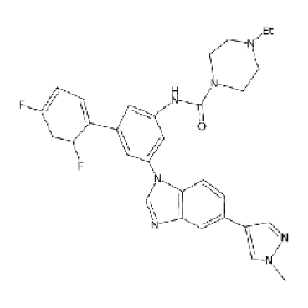 CCN1CCN(C(=O)Nc2cc(C3=CC=C(F)CC3F)cc(-n3cnc4cc(-c5cnn(C)c5)ccc43)c2)CC1